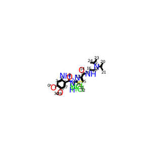 COc1cc(N)c(C(=O)Nc2nc(C(=O)NCCN(C(C)C)C(C)C)cs2)cc1OC.Cl.Cl